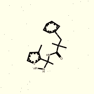 CCCNC(C)(NC(=O)C(C)(C)Cc1ccccc1)c1sccc1C